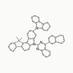 CC1(C)c2ccccc2-c2ccc3c(c21)c1ccc(-n2c4ccccc4c4ccccc42)cc1n3-c1nc(-c2ccc3ccccc3c2)c2ccccc2n1